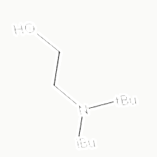 CCC(C)N(CCO)C(C)(C)C